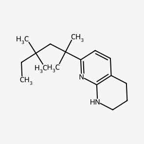 CCC(C)(C)CC(C)(C)c1ccc2c(n1)NCCC2